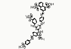 O=S(=O)(O)c1ccc(N=Nc2ccc(Nc3nc(Nc4ccc(N=Nc5cc(S(=O)(=O)O)c6cccc(S(=O)(=O)O)c6c5)cc4)nc(Nc4cccc(S(=O)(=O)O)c4)n3)c(S(=O)(=O)O)c2)cc1